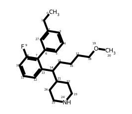 CCc1cccc(-c2c(F)cccc2C(CCCCOC)C2CCNCC2)c1